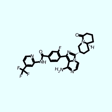 Nc1nccn2c([C@H]3CC[C@@H]4CCCC(=O)N4C3)nc(-c3ccc(C(=O)Nc4cc(C(F)(F)F)ccn4)cc3F)c12